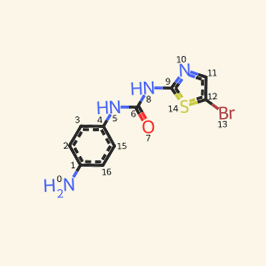 Nc1ccc(NC(=O)Nc2ncc(Br)s2)cc1